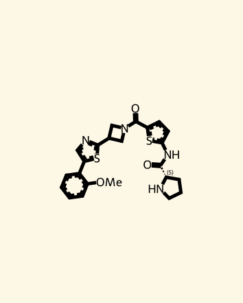 COc1ccccc1-c1cnc(C2CN(C(=O)c3ccc(NC(=O)[C@@H]4CCCN4)s3)C2)s1